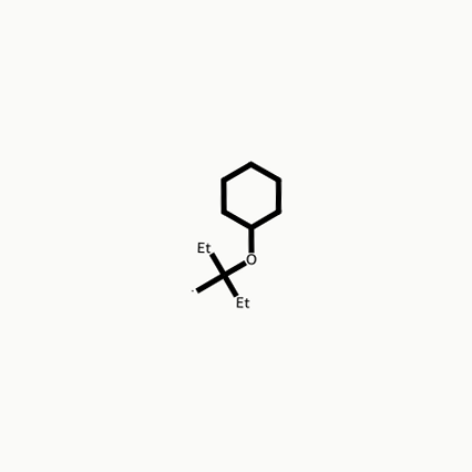 [CH2]C(CC)(CC)OC1CCCCC1